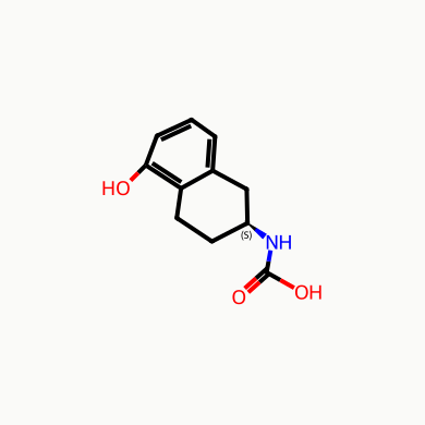 O=C(O)N[C@H]1CCc2c(O)cccc2C1